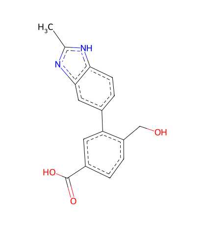 Cc1nc2cc(-c3cc(C(=O)O)ccc3CO)ccc2[nH]1